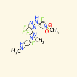 CNCc1ccc(-n2cc(-c3nc(N[C@H]4CCN(S(C)(=O)=O)C[C@H]4F)ncc3C(F)(F)F)nc2C)c(F)c1